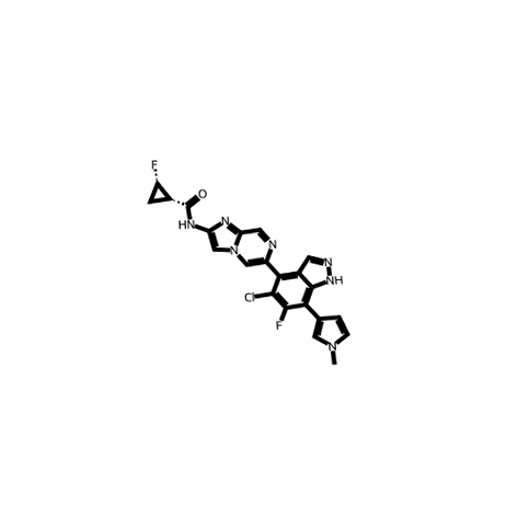 Cn1ccc(-c2c(F)c(Cl)c(-c3cn4cc(NC(=O)[C@@H]5C[C@@H]5F)nc4cn3)c3cn[nH]c23)c1